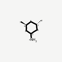 C[C@@H]1CC(N)C[C@@H](C)C1